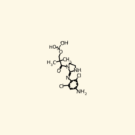 CC(C)(CON(O)O)C(=O)N1CCN/C1=N\c1c(Cl)cc(N)cc1Cl